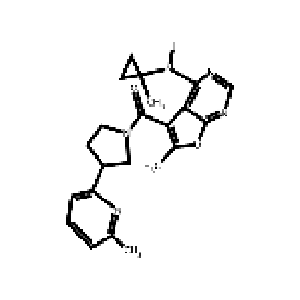 Cc1cccc(C2CCN(C(=O)c3c(C)oc4ncnc(N(I)C5(C)CC5)c34)C2)n1